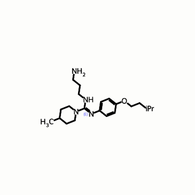 CC(C)CCOc1ccc(/N=C(\NCCCN)N2CCC(C)CC2)cc1